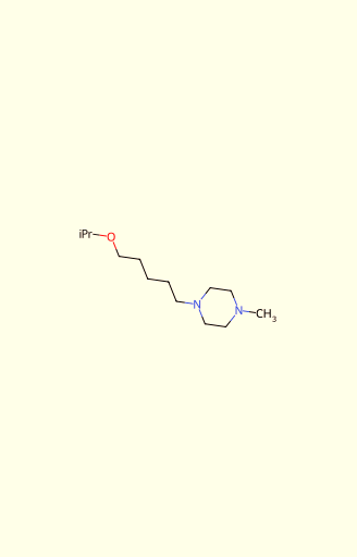 CC(C)OCCCCCN1CCN(C)CC1